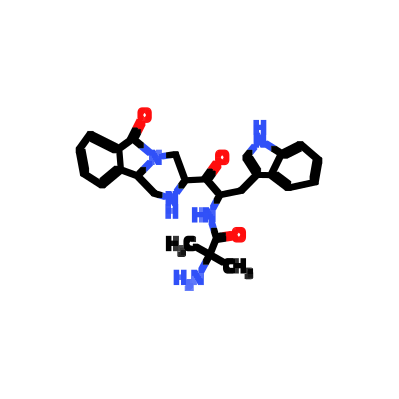 CC(C)(N)C(=O)NC(Cc1c[nH]c2ccccc12)C(=O)C1CN2C(=O)c3ccccc3C2CN1